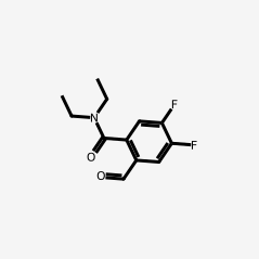 CCN(CC)C(=O)c1cc(F)c(F)cc1C=O